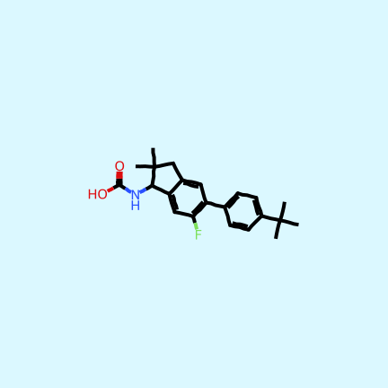 CC(C)(C)c1ccc(-c2cc3c(cc2F)C(NC(=O)O)C(C)(C)C3)cc1